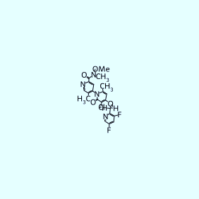 [2H]C([2H])(Oc1cc(C)n(-c2cc(C(=O)N(C)OC)ncc2C)c(=O)c1Cl)c1ncc(F)cc1F